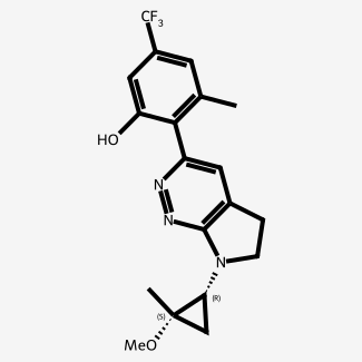 CO[C@@]1(C)C[C@H]1N1CCc2cc(-c3c(C)cc(C(F)(F)F)cc3O)nnc21